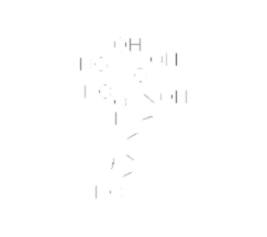 OC[C@H]1OC(C2(O)C=C(O)C=C(C=Cc3ccc(O)cc3)C2)[C@H](O)[C@@H](O)[C@@H]1O